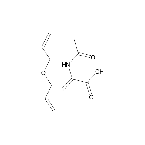 C=C(NC(C)=O)C(=O)O.C=CCOCC=C